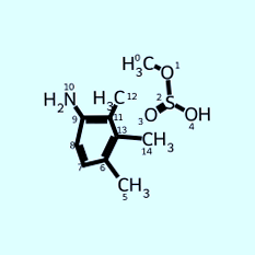 COS(=O)O.Cc1ccc(N)c(C)c1C